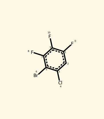 Fc1cc(Cl)c(Br)c(F)c1F